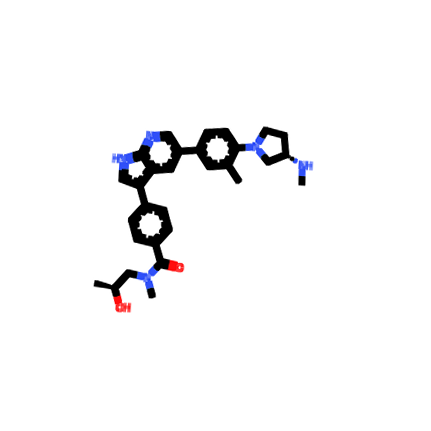 CN[C@H]1CCN(c2ccc(-c3cnc4[nH]cc(-c5ccc(C(=O)N(C)C[C@H](C)O)cc5)c4c3)cc2C)C1